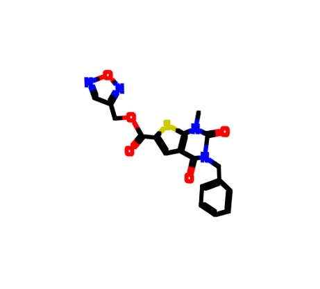 Cn1c(=O)n(Cc2ccccc2)c(=O)c2cc(C(=O)OCc3cnon3)sc21